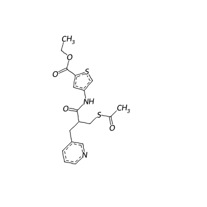 CCOC(=O)c1cc(NC(=O)C(CSC(C)=O)Cc2cccnc2)cs1